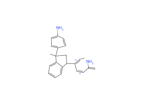 C=C(N)/C=C\C(=C/C)C1CC(C)(c2ccc(N)cc2)c2ccccc21